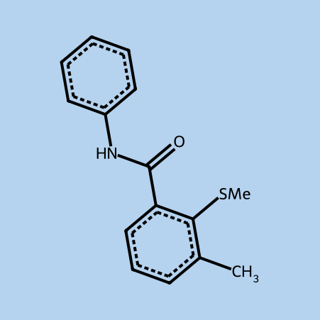 CSc1c(C)cccc1C(=O)Nc1ccccc1